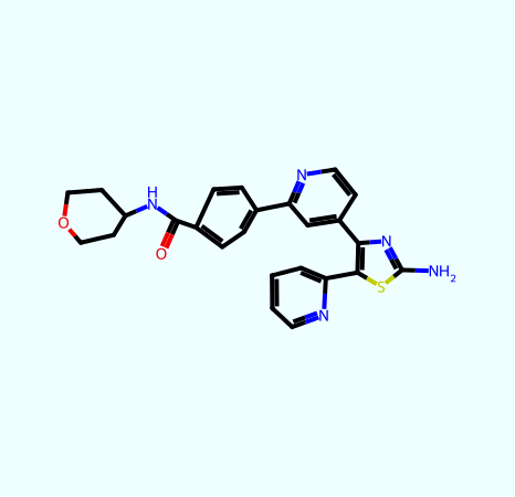 Nc1nc(-c2ccnc(-c3ccc(C(=O)NC4CCOCC4)cc3)c2)c(-c2ccccn2)s1